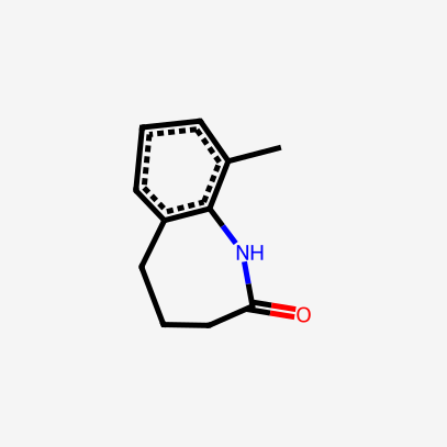 Cc1cccc2c1NC(=O)CCC2